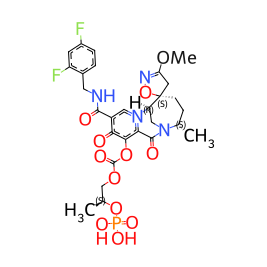 COC1=NO[C@@]2(CC[C@H](C)N3C[C@H]2n2cc(C(=O)NCc4ccc(F)cc4F)c(=O)c(OC(=O)OC[C@H](C)OP(=O)(O)O)c2C3=O)C1